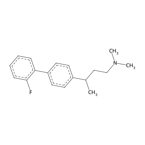 CC(CCN(C)C)c1ccc(-c2ccccc2F)cc1